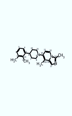 Cc1cccc(C2CCN(c3ccn4c(C)ncc4c3C)CC2)c1C